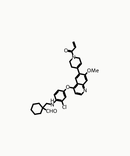 C=CC(=O)N1CC=C(c2cc3c(Oc4ccc(NCC5(C=O)CCCCC5)c(Cl)c4)ccnc3cc2OC)CC1